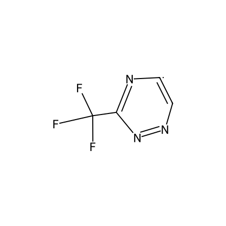 FC(F)(F)c1n[c]cnn1